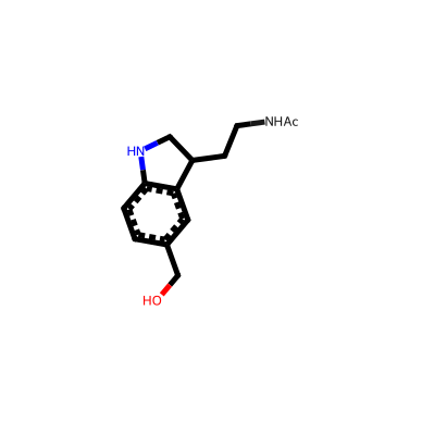 CC(=O)NCCC1CNc2ccc(CO)cc21